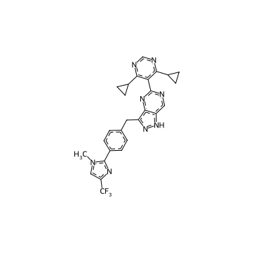 Cn1cc(C(F)(F)F)nc1-c1ccc(Cc2n[nH]c3cnc(-c4c(C5CC5)ncnc4C4CC4)nc23)cc1